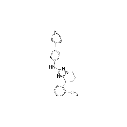 FC(F)(F)c1ccccc1C1CCCn2nc(Nc3ccc(-c4ccncc4)cc3)nc21